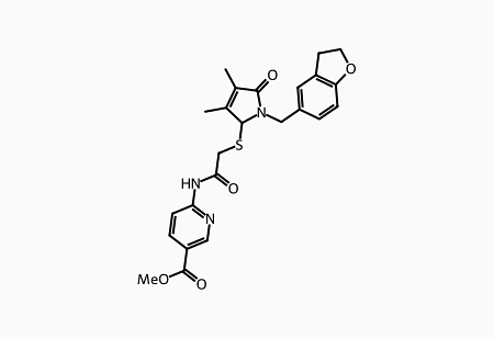 COC(=O)c1ccc(NC(=O)CSC2C(C)=C(C)C(=O)N2Cc2ccc3c(c2)CCO3)nc1